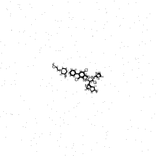 COCCN1CC[C@H](c2ccc(-c3cc(Cl)c4cn(C(C(=O)Nc5nccs5)c5ncn6c5C[C@@H](F)C6)nc4c3Cl)cc2)[C@@H](F)C1